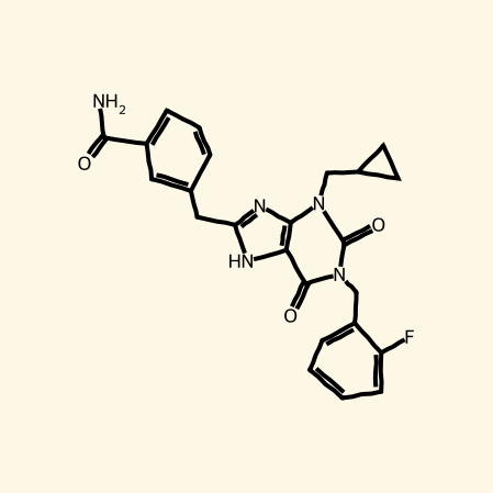 NC(=O)c1cccc(Cc2nc3c([nH]2)c(=O)n(Cc2ccccc2F)c(=O)n3CC2CC2)c1